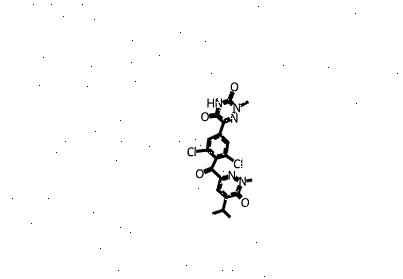 CC(C)c1cc(C(=O)c2c(Cl)cc(-c3nn(C)c(=O)[nH]c3=O)cc2Cl)nn(C)c1=O